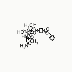 C#C[C@H](NC(=O)[C@H](C)NC(=O)N1CCN(C(=O)OCc2ccccc2)CC1)C(=O)NN(CC(N)=O)C(C)=O